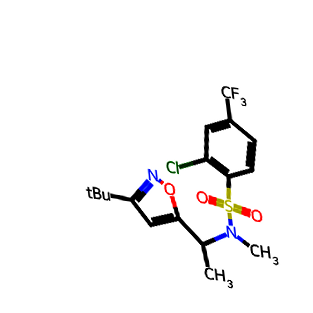 CC(c1cc(C(C)(C)C)no1)N(C)S(=O)(=O)c1ccc(C(F)(F)F)cc1Cl